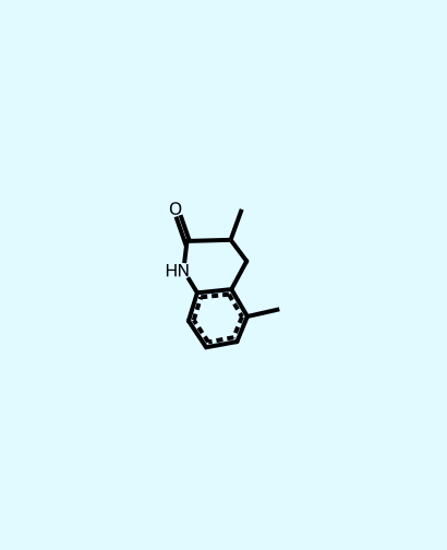 Cc1cccc2c1CC(C)C(=O)N2